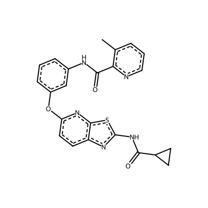 Cc1cccnc1C(=O)Nc1cccc(Oc2ccc3nc(NC(=O)C4CC4)sc3n2)c1